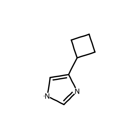 C1=NC(C2CCC2)=C[N]1